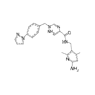 C=C(/N=C\N(N)Cc1ccc(-n2cccn2)cc1)C(=O)NCc1c(C)cc(N)nc1C